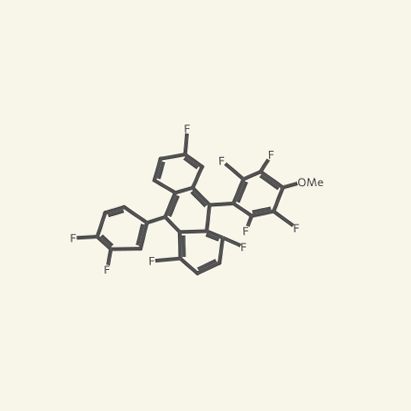 COc1c(F)c(F)c(-c2c3cc(F)ccc3c(-c3ccc(F)c(F)c3)c3c(F)ccc(F)c23)c(F)c1F